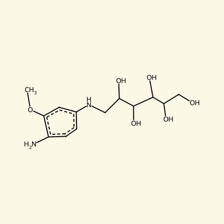 COc1cc(NCC(O)C(O)C(O)C(O)CO)ccc1N